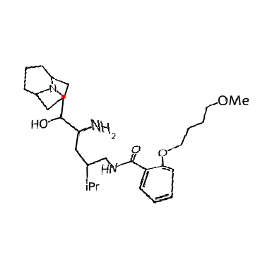 COCCCCOc1ccccc1C(=O)NCC(CC(N)C(O)CN1C2CCCC1CCC2)C(C)C